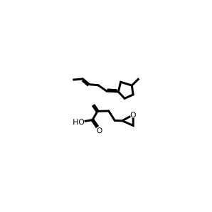 C=C(CCC1CO1)C(=O)O.CC=CCC=C1CCC(C)C1